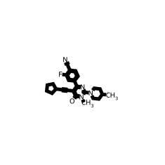 CC1CCN(c2nc(-c3ccc(C#N)c(F)c3)c(C#CC3CCCC3)c(=O)n2C)CC1